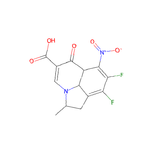 CC1CC2=C(F)C(F)=C([N+](=O)[O-])C3C(=O)C(C(=O)O)=CN1C23